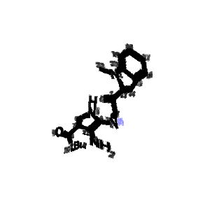 C=C(/C=N\c1[nH]cc(C(=O)C(C)(C)C)c1N)c1cc2ccccc2n1C